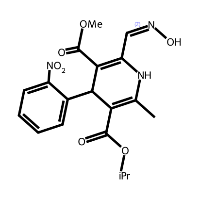 COC(=O)C1=C(/C=N\O)NC(C)=C(C(=O)OC(C)C)C1c1ccccc1[N+](=O)[O-]